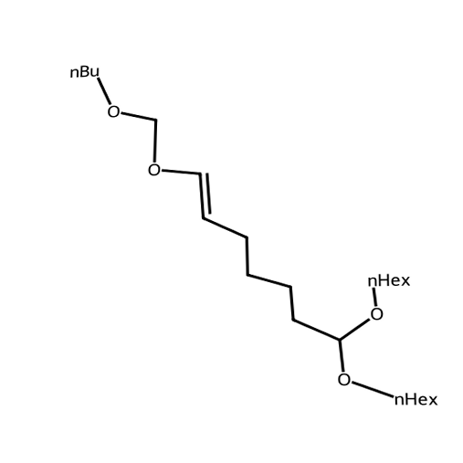 CCCCCCOC(CCCCC=COCOCCCC)OCCCCCC